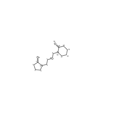 O=C1CCCN1CCOCN1CCCCC1=O